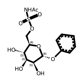 CC(=O)NS(=O)(=O)OC[C@H]1O[C@H](Oc2ccccc2)[C@@H](O)[C@@H](O)[C@@H]1O